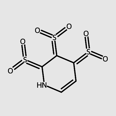 O=S(=O)=C1C=CNC(=S(=O)=O)C1=S(=O)=O